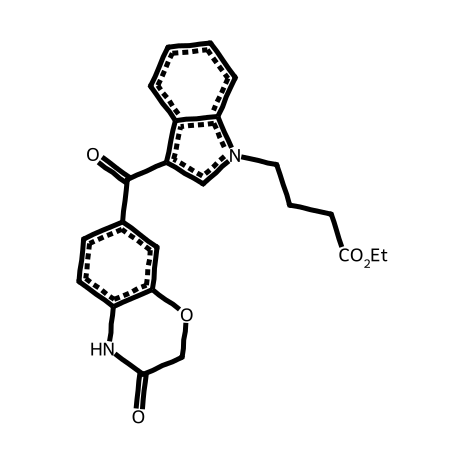 CCOC(=O)CCCn1cc(C(=O)c2ccc3c(c2)OCC(=O)N3)c2ccccc21